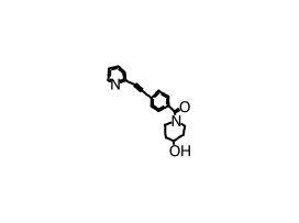 O=C(c1ccc(C#Cc2ccccn2)cc1)N1CCC(O)CC1